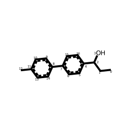 CCC(O)c1ccc(-c2ccc(C)cc2)cc1